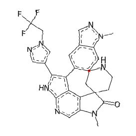 CN1C(=O)C2(CCNCC2)c2c1cnc1[nH]c(-c3cnn(CC(F)(F)F)c3)c(-c3ccc4c(cnn4C)c3)c21